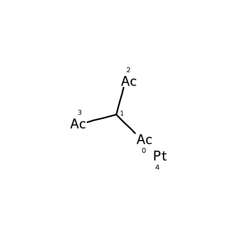 CC(=O)C(C(C)=O)C(C)=O.[Pt]